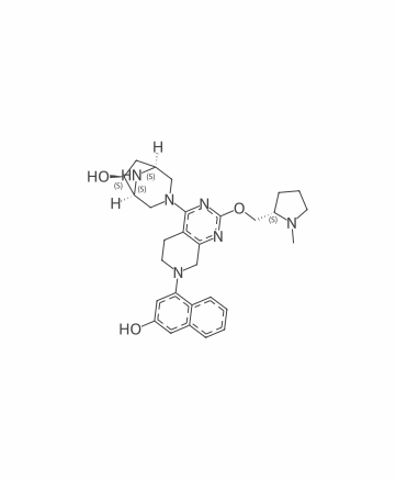 CN1CCC[C@H]1COc1nc2c(c(N3C[C@@H]4C[C@H](O)[C@H](C3)N4)n1)CCN(c1cc(O)cc3ccccc13)C2